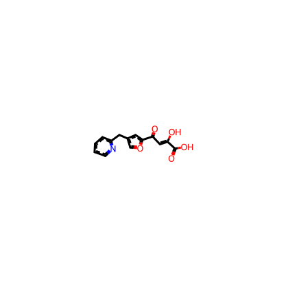 O=C(O)/C(O)=C/C(=O)c1cc(Cc2ccccn2)co1